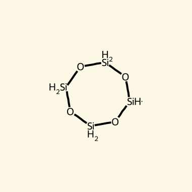 O1[SiH]O[SiH2]O[SiH2]O[SiH2]1